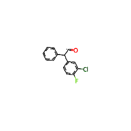 O=[C]C(c1ccccc1)c1ccc(F)c(Cl)c1